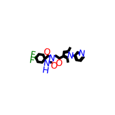 Cc1cc(C(=O)CN2C(=O)NC3(CCC(F)(F)CC3)C2=O)c(C)n1-c1cccnc1